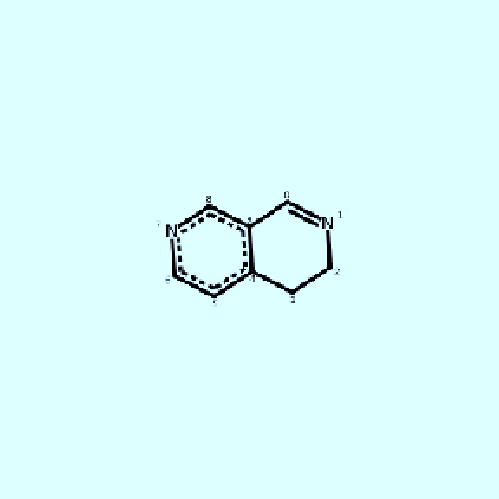 C1=NCCc2ccncc21